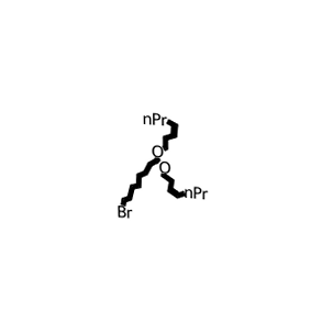 CCC/C=C\CCOC(CCCCCCCBr)OCC/C=C\CCC